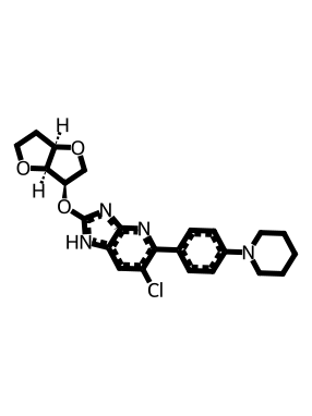 Clc1cc2[nH]c(O[C@@H]3CO[C@@H]4CCO[C@@H]43)nc2nc1-c1ccc(N2CCCCC2)cc1